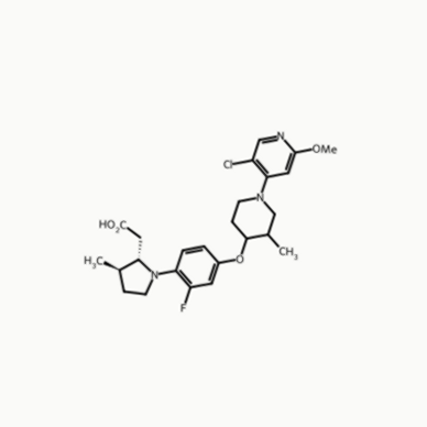 COc1cc(N2CCC(Oc3ccc(N4CC[C@@H](C)[C@@H]4CC(=O)O)c(F)c3)C(C)C2)c(Cl)cn1